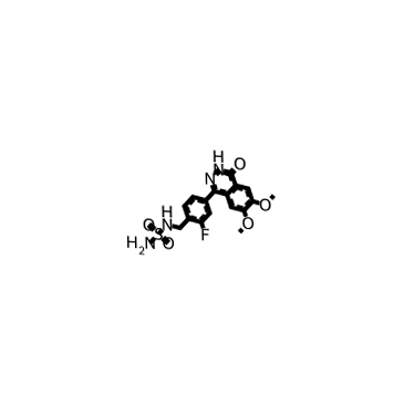 COc1cc2c(-c3ccc(CNS(N)(=O)=O)c(F)c3)n[nH]c(=O)c2cc1OC